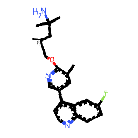 Cc1cc(-c2ccnc3ccc(F)cc23)cnc1OC[C@@H](C)CC(C)(C)N